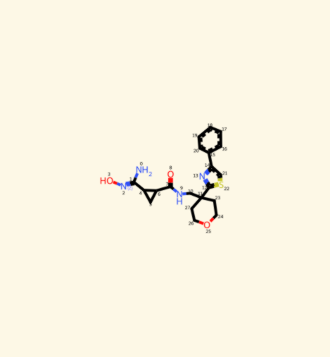 N/C(=N\O)C1CC1C(=O)NCC1(c2nc(-c3ccccc3)cs2)CCOCC1